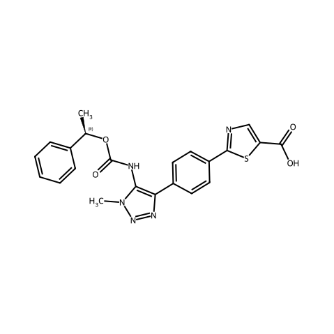 C[C@@H](OC(=O)Nc1c(-c2ccc(-c3ncc(C(=O)O)s3)cc2)nnn1C)c1ccccc1